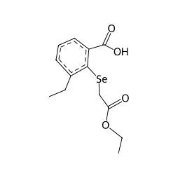 CCOC(=O)C[Se]c1c(CC)cccc1C(=O)O